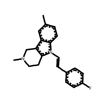 Cc1ccc2c(c1)c1c(n2/C=C/c2ccc(F)cc2)CCN(C)C1